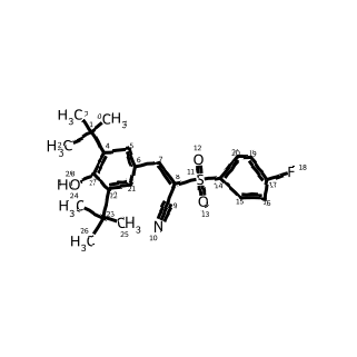 CC(C)(C)c1cc(/C=C(\C#N)S(=O)(=O)c2ccc(F)cc2)cc(C(C)(C)C)c1O